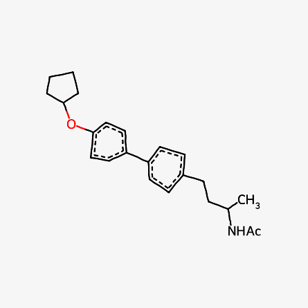 CC(=O)NC(C)CCc1ccc(-c2ccc(OC3CCCC3)cc2)cc1